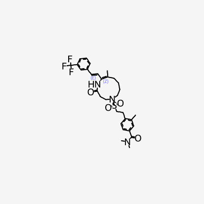 C/C1=C(\C=C\c2cccc(C(F)(F)F)c2)NC(=O)CCN(S(=O)(=O)CCc2ccc(C(=O)N(C)C)cc2C)CCCC1